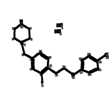 Cl.Cl.Fc1cc(CN2CCNCC2)ccc1CCOc1ccc(Cl)cc1